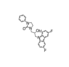 O=C1N(CC(O)Cn2c3ccc(F)cc3c3cc(F)ccc32)CCN1c1ccccc1